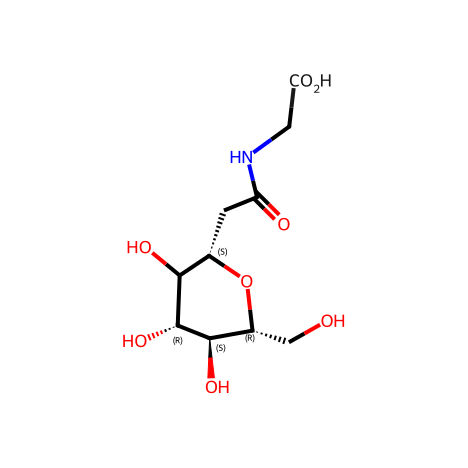 O=C(O)CNC(=O)C[C@@H]1O[C@H](CO)[C@@H](O)[C@H](O)C1O